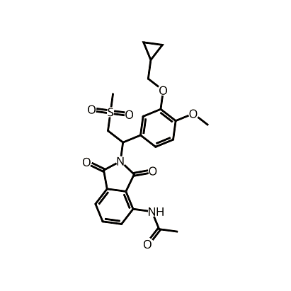 COc1ccc(C(CS(C)(=O)=O)N2C(=O)c3cccc(NC(C)=O)c3C2=O)cc1OCC1CC1